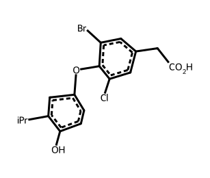 CC(C)c1cc(Oc2c(Cl)cc(CC(=O)O)cc2Br)ccc1O